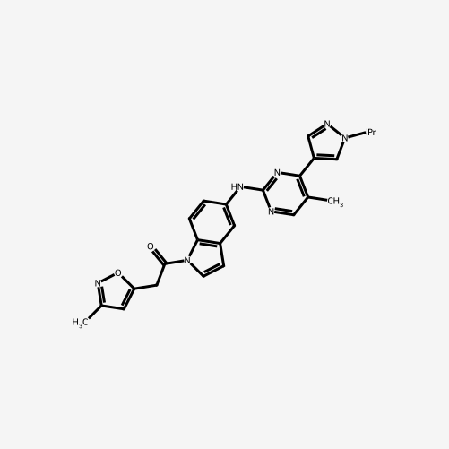 Cc1cc(CC(=O)n2ccc3cc(Nc4ncc(C)c(-c5cnn(C(C)C)c5)n4)ccc32)on1